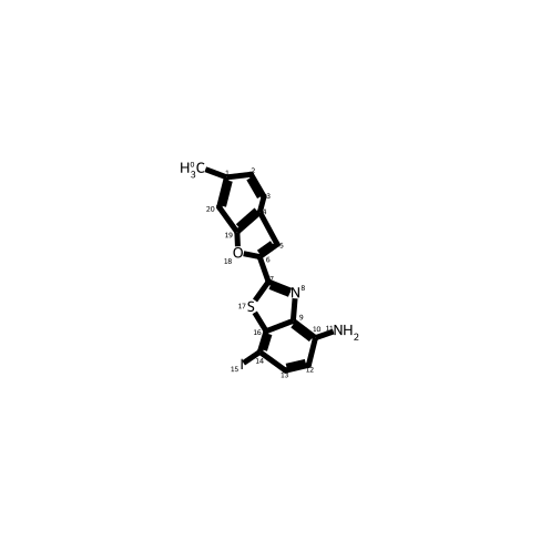 Cc1ccc2cc(-c3nc4c(N)ccc(I)c4s3)oc2c1